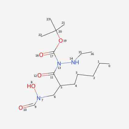 CCCCCC(CN(O)C=O)C(=O)N(NCC)C(=O)OC(C)(C)C